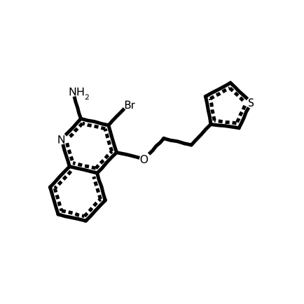 Nc1nc2ccccc2c(OCCc2ccsc2)c1Br